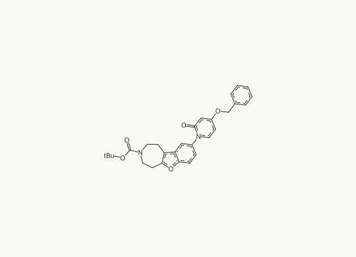 CC(C)(C)OC(=O)N1CCc2oc3ccc(-n4ccc(OCc5ccccc5)cc4=O)cc3c2CC1